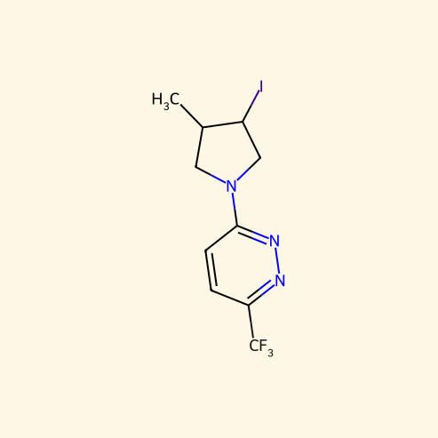 CC1CN(c2ccc(C(F)(F)F)nn2)CC1I